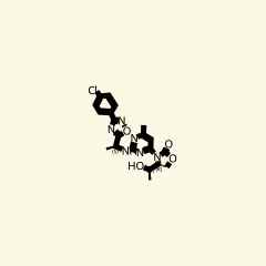 Cc1cc(N2C(=O)OC[C@@H]2[C@@H](C)O)nc(N[C@@H](C)c2nc(-c3ccc(Cl)cc3)no2)n1